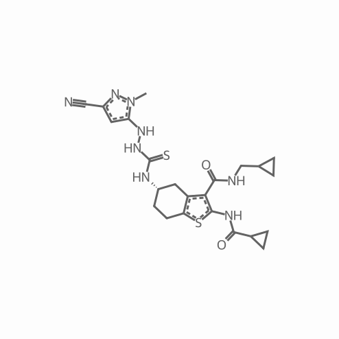 Cn1nc(C#N)cc1NNC(=S)N[C@H]1CCc2sc(NC(=O)C3CC3)c(C(=O)NCC3CC3)c2C1